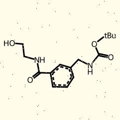 CC(C)(C)OC(=O)NCc1cccc(C(=O)NCCO)c1